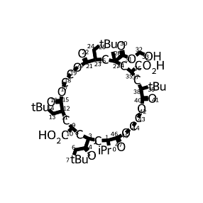 CC(C)C1CC(C(=O)CC(C)(C)C)CC(C(=O)O)CC(CC(C)(C)C)C(=O)OCCOC(=O)C(CC(C)(C)C)CC(C)(C(=O)OCO)CC(C(=O)O)CC(C(C)(C)C)C(=O)OCCOC1=O